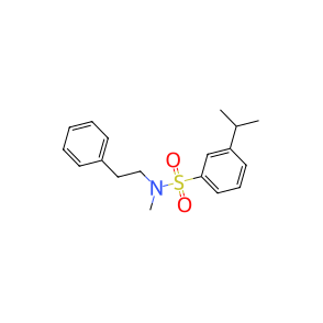 CC(C)c1cccc(S(=O)(=O)N(C)CCc2ccccc2)c1